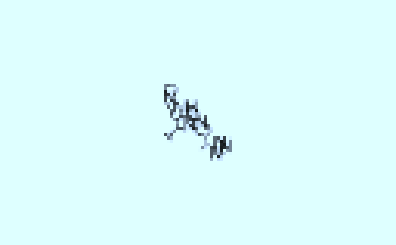 CC(c1ccnc(-n2cc(C3CC3)c3cc(CN4CCCCC4)[nH]c3c2=O)c1)c1nncn1C